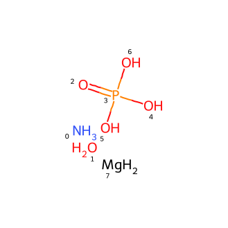 N.O.O=P(O)(O)O.[MgH2]